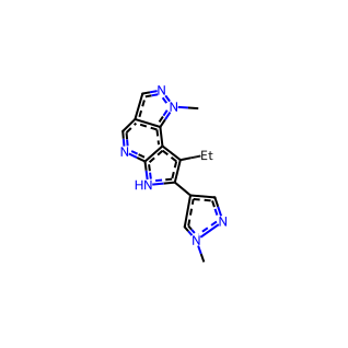 CCc1c(-c2cnn(C)c2)[nH]c2ncc3cnn(C)c3c12